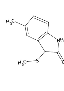 CSC1C(=O)Nc2ccc(C)cc21